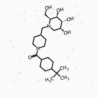 CC(C)(C)C1CCC(C(=O)N2CCC(CN3C[C@H](O)[C@@H](O)[C@H](O)[C@@H]3CO)CC2)CC1